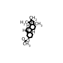 C=C1C[C@@]2(C)CC[C@@H]3[C@@H](CC=C4CC(OC(C)=O)CC[C@@]43C)[C@@H]2C1=C